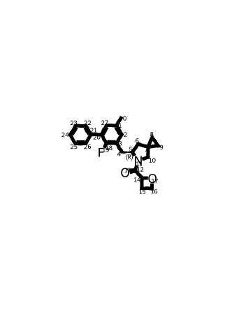 Cc1cc(C[C@H]2CC3(CC3)CN2C(=O)C2CCO2)c(F)c(-c2ccccc2)c1